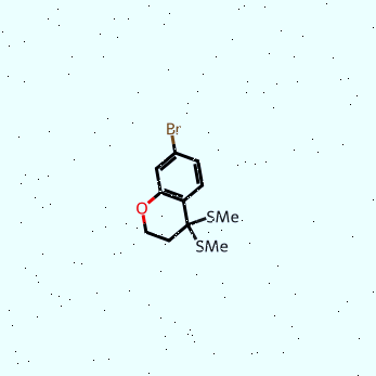 CSC1(SC)CCOc2cc(Br)ccc21